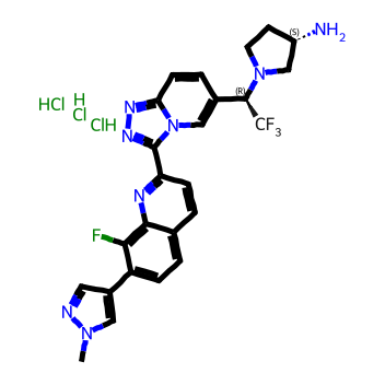 Cl.Cl.Cl.Cn1cc(-c2ccc3ccc(-c4nnc5ccc([C@@H](N6CC[C@H](N)C6)C(F)(F)F)cn45)nc3c2F)cn1